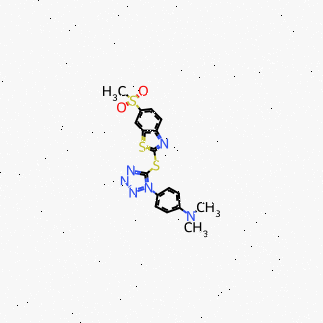 CN(C)c1ccc(-n2nnnc2Sc2nc3ccc(S(C)(=O)=O)cc3s2)cc1